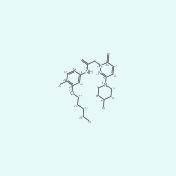 C=C(CN1N=C(N2CCC(C)CC2)C=CC1=C)Nc1ccc(C)c(OCCCCC)c1